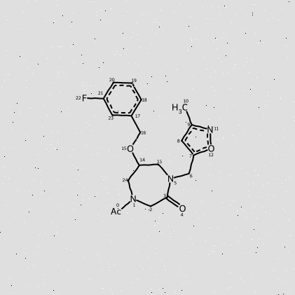 CC(=O)N1CC(=O)N(Cc2cc(C)no2)CC(OCc2cccc(F)c2)C1